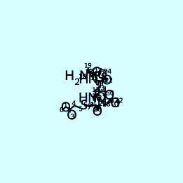 COC(=O)CCSC[C@@H](NC(=O)CC[C@@H](NC(=O)[C@H](C)N)C(=O)OC)C(=O)NCC(=O)OC